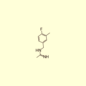 CC(=N)NCc1ccc(F)c(C)c1